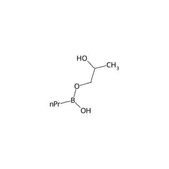 CCCB(O)OCC(C)O